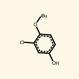 CCC(C)Oc1ccc(O)cc1Cl